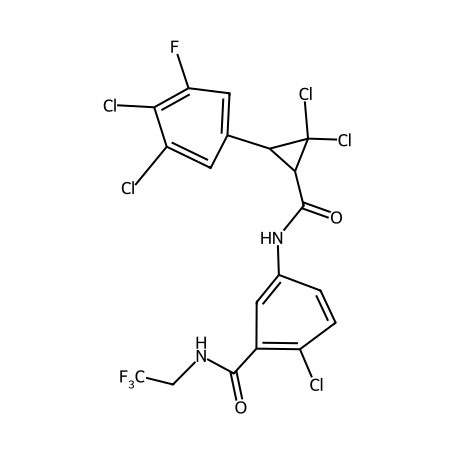 O=C(NCC(F)(F)F)c1cc(NC(=O)C2C(c3cc(F)c(Cl)c(Cl)c3)C2(Cl)Cl)ccc1Cl